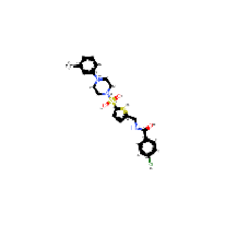 O=C(NCc1ccc(S(=O)(=O)N2CCN(c3cccc(C(F)(F)F)c3)CC2)s1)c1ccc(Cl)cc1